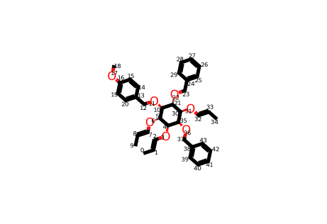 CC=CO[C@H]1[C@H](O/C=C/C)[C@@H](OCc2ccc(OC)cc2)[C@H](OCc2ccccc2)[C@@H](OC=CC)[C@H]1OCc1ccccc1